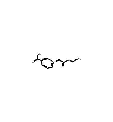 CCOC(=O)C[n+]1cccc(C(C)=O)c1